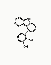 Oc1cccc(-c2cccc3[nH]c4ccccc4c23)c1O